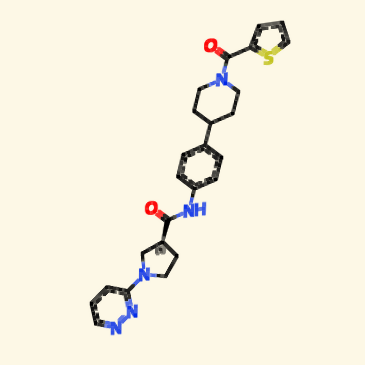 O=C(Nc1ccc(C2CCN(C(=O)c3cccs3)CC2)cc1)[C@H]1CCN(c2cccnn2)C1